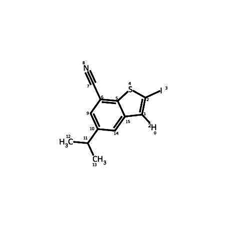 [2H]c1c(I)sc2c(C#N)cc(C(C)C)cc12